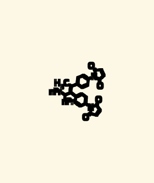 CCCC(CCC)C(=C(C)c1ccc(N2C(=O)C=CC2=O)cc1)c1ccc(N2C(=O)C=CC2=O)cc1